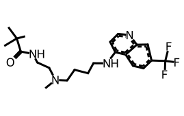 CN(CCCCNc1ccnc2cc(C(F)(F)F)ccc12)CCNC(=O)C(C)(C)C